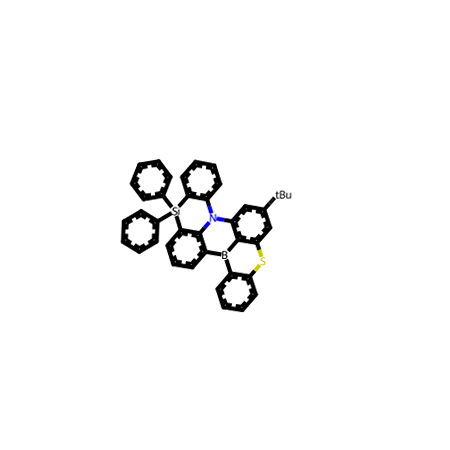 CC(C)(C)c1cc2c3c(c1)N1c4ccccc4[Si](c4ccccc4)(c4ccccc4)c4cccc(c41)B3c1ccccc1S2